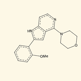 COc1ccccc1-c1cc2c(N3CCOCC3)nccc2[nH]1